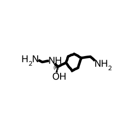 NCN[C@H](O)C1CCC(CN)CC1